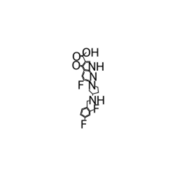 O=C(O)c1c[nH]c2nc(N3CCC(NCc4ccc(F)cc4F)C3)c(F)cc2c1=O